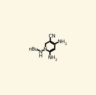 CCCCNN1CC(C#N)=C(N)C=C1N